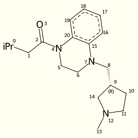 CC(C)CC(=O)N1CCN(C[C@@H]2CCN(C)C2)c2ccccc21